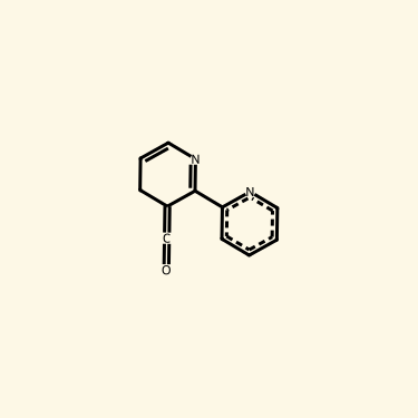 O=C=C1CC=CN=C1c1ccccn1